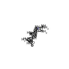 N=C(N)NCC/C=C(\NC(=O)[C@H](CCCCN)NC(=O)[C@H](Cc1cnc[nH]1)NC(=O)[C@@H]1CCCN1C(=O)[C@@H](CCCN)NC(=O)CNC(=O)C(NC(=O)C[C@@H](O)CN)C1CCCC1)C(N)=O